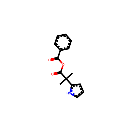 CC(C)(C(=O)OC(=O)c1ccccc1)c1ccc[nH]1